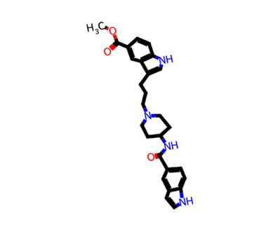 COC(=O)c1ccc2[nH]cc(CCCN3CCC(NC(=O)c4ccc5[nH]ccc5c4)CC3)c2c1